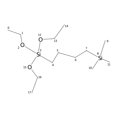 CCO[Si](CCCC[Si](C)(C)C)(OCC)OCC